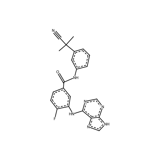 CC(C)(C#N)c1cccc(NC(=O)c2ccc(F)c(Nc3ncnc4[nH]cnc34)c2)c1